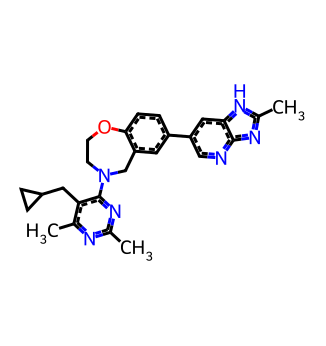 Cc1nc(C)c(CC2CC2)c(N2CCOc3ccc(-c4cnc5nc(C)[nH]c5c4)cc3C2)n1